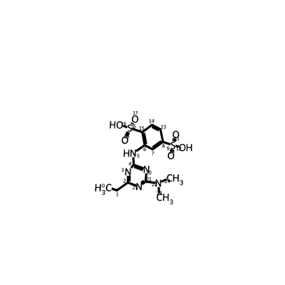 CCc1nc(Nc2cc(S(=O)(=O)O)ccc2S(=O)(=O)O)nc(N(C)C)n1